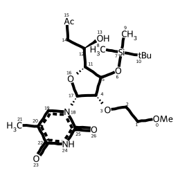 COCCO[C@H]1C(O[Si](C)(C)C(C)(C)C)[C@@H]([C@H](O)CC(C)=O)O[C@H]1n1cc(C)c(=O)[nH]c1=O